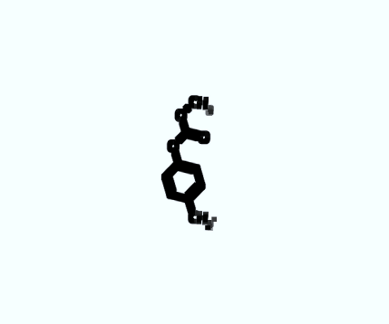 [CH2]c1ccc(OC(=O)OC)cc1